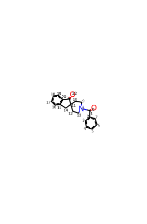 O=C(c1ccccc1)N1CCC2(CC1)Cc1ccccc1C2=O